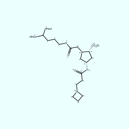 CCCCCC(CCCCC)CCCOC(=O)CN1C[C@@H](OC(=O)CCN2CCC2)C[C@H]1C(=O)OCC